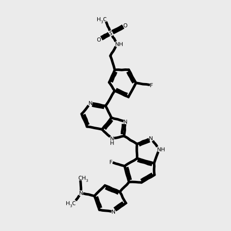 CN(C)c1cncc(-c2ccc3[nH]nc(-c4nc5c(-c6cc(F)cc(CNS(C)(=O)=O)c6)nccc5[nH]4)c3c2F)c1